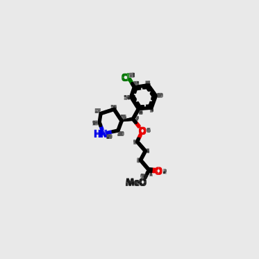 COC(=O)CCCOC(c1cccc(Cl)c1)[C@@H]1CCCNC1